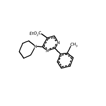 CCOC(=O)c1cnc(-c2ccccc2C)nc1N1CCCCC1